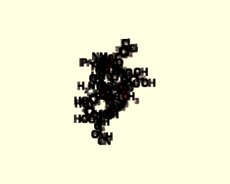 CN[C@H](CC(C)C)C(=O)N[C@H]1C(=O)N[C@@H](CC(N)=O)C(=O)N[C@H]2C(=O)N[C@H]3C(=O)N[C@H](C(=O)N[C@@H](C(=O)NOCC(=O)NC#N)c4cc(O)cc(O)c4-c4cc3ccc4O)[C@H](O)c3ccc(c(Cl)c3)Oc3cc2cc(c3O[C@@H]2O[C@H](CO)[C@@H](O)[C@H](O)[C@H]2O[C@H]2C[C@](C)(NCCn3ccc(NC(=O)Cc4ccc(Cl)c(Cl)c4)nc3=O)[C@H](O)[C@H](C)O2)Oc2ccc(cc2Cl)[C@H]1O